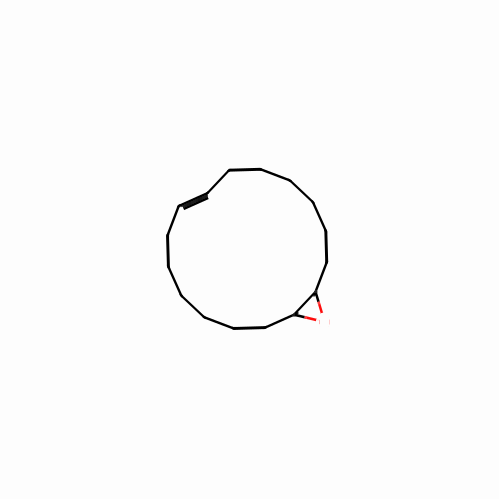 C1=C/CCCCCCC2OC2CCCCCC/1